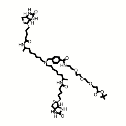 CC(CCCCCCN(CCCCCCC(C)NC(=O)CCCC[C@@H]1SC[C@@H]2NC(=O)N[C@@H]21)Cc1ccc(C(=O)NCCOCCOCCOCCC(=O)OC(C)(C)C)cc1)NC(=O)CCCC[C@@H]1SC[C@@H]2NC(=O)N[C@@H]21